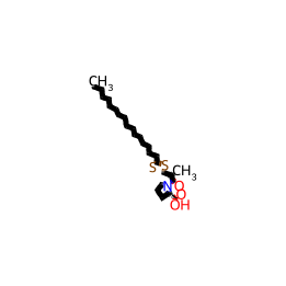 CCCCCCCCCCCCCCCCCC(=S)SC[C@@H](C)C(=O)N1CCC[C@H]1C(=O)O